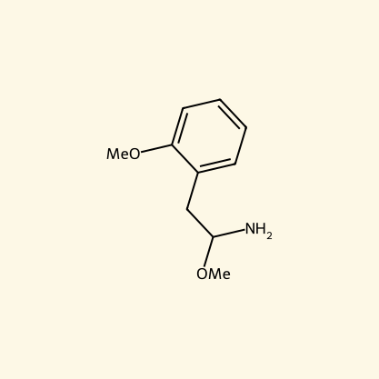 COc1ccccc1CC(N)OC